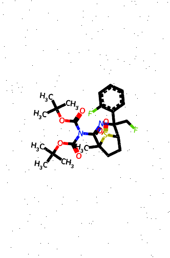 CC(C)(C)OC(=O)N(C(=O)OC(C)(C)C)C1=NC(CF)(c2ccccc2F)C2CCC1(C)S2(=O)=O